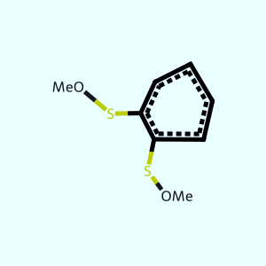 COSc1ccccc1SOC